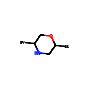 CC[C]1CNC(C(C)C)CO1